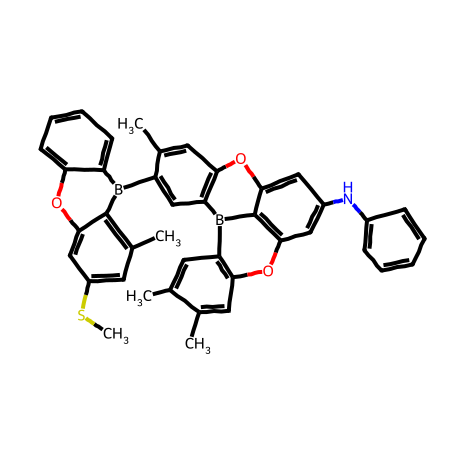 CSc1cc(C)c2c(c1)Oc1ccccc1B2c1cc2c(cc1C)Oc1cc(Nc3ccccc3)cc3c1B2c1cc(C)c(C)cc1O3